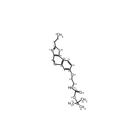 CCCc1nc2cnc3cc(OCCNC(=O)OC(C)(C)C)ccc3c2s1